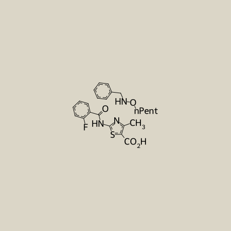 CCCCCONCc1ccccc1.Cc1nc(NC(=O)c2ccccc2F)sc1C(=O)O